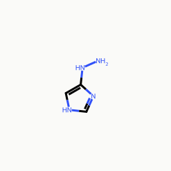 NNc1c[nH]cn1